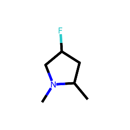 CC1CC(F)CN1C